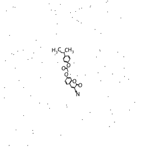 CCC(C)c1ccc(OC(=O)COc2ccc3cc(C#N)c(=O)oc3c2)cc1